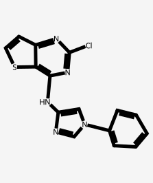 Clc1nc(Nc2cn(-c3ccccc3)cn2)c2sccc2n1